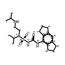 CC(C)NCCN(C(C)C)S(=O)(=O)NC(=O)Nc1c2c(cc3c1CCC3)CCC2